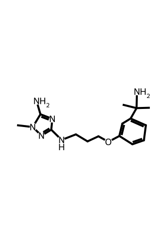 Cn1nc(NCCCOc2cccc(C(C)(C)N)c2)nc1N